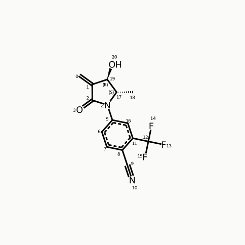 C=C1C(=O)N(c2ccc(C#N)c(C(F)(F)F)c2)[C@@H](C)[C@@H]1O